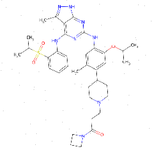 Cc1cc(Nc2nc(Nc3ccccc3S(=O)(=O)C(C)C)c3c(C)n[nH]c3n2)c(OC(C)C)cc1C1CCN(CCC(=O)N2CCC2)CC1